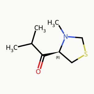 CC(C)C(=O)[C@@H]1CSCN1C